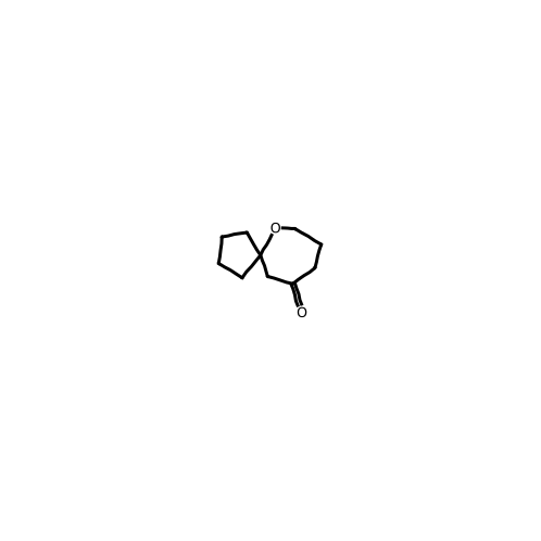 O=C1CCCOC2(CCCC2)C1